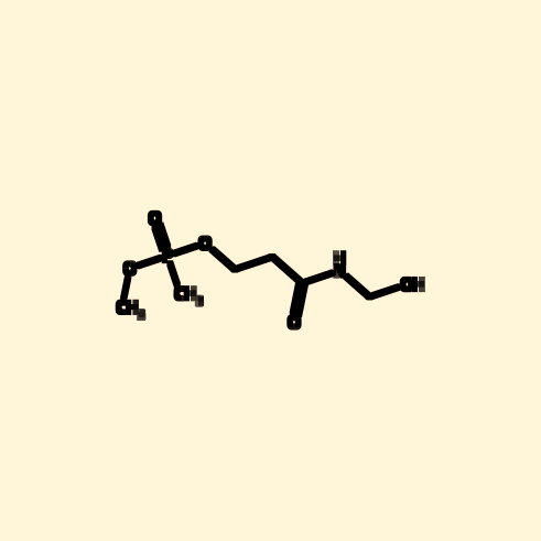 COP(C)(=O)OCCC(=O)NCO